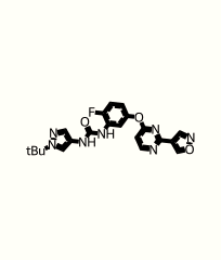 CC(C)(C)n1cc(NC(=O)Nc2cc(Oc3ccnc(-c4cnoc4)n3)ccc2F)cn1